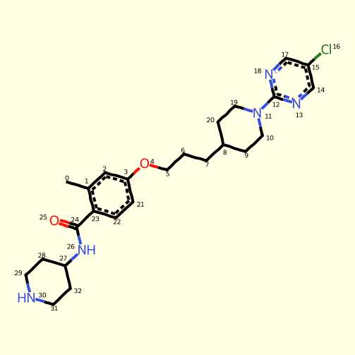 Cc1cc(OCCCC2CCN(c3ncc(Cl)cn3)CC2)ccc1C(=O)NC1CCNCC1